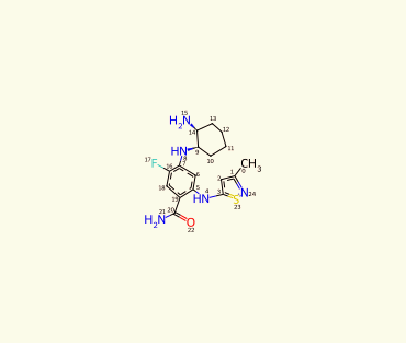 Cc1cc(Nc2cc(N[C@@H]3CCCC[C@@H]3N)c(F)cc2C(N)=O)sn1